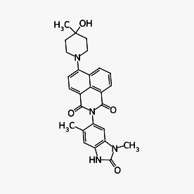 Cc1cc2[nH]c(=O)n(C)c2cc1N1C(=O)c2cccc3c(N4CCC(C)(O)CC4)ccc(c23)C1=O